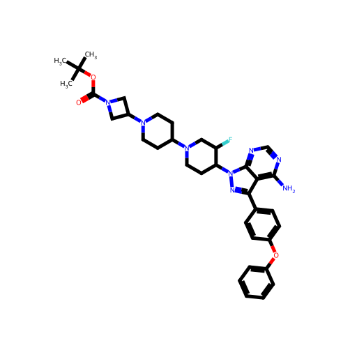 CC(C)(C)OC(=O)N1CC(N2CCC(N3CCC(n4nc(-c5ccc(Oc6ccccc6)cc5)c5c(N)ncnc54)C(F)C3)CC2)C1